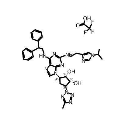 Cc1nnn([C@H]2C[C@@H](n3cnc4c(NCC(c5ccccc5)c5ccccc5)nc(NCCc5cn(C(C)C)cn5)nc43)[C@H](O)[C@@H]2O)n1.O=C(O)C(F)(F)F